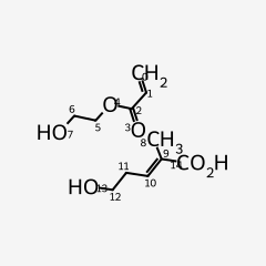 C=CC(=O)OCCO.CC(=CCCO)C(=O)O